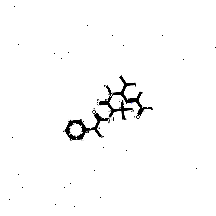 CC(=O)/C(C)=C/C(C(C)C)N(C)C(=O)C(NC(=O)C(C)c1ccccc1)C(C)(C)C